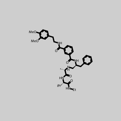 CCNC(=O)[C@@H](NC(=O)[C@H](C)NC[C@H](Cc1ccccc1)NC(=O)c1cccc(C(=O)NCCc2ccc(OC)c(OC)c2)c1)C(C)C